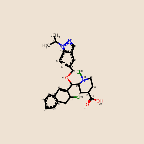 CC(C)n1ncc2cc(COC(C3=Cc4ccccc4CC3Cl)C3CC(C(=O)O)CCN3Cl)ccc21